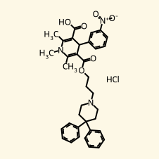 CC1=C(C(=O)O)C(c2cccc([N+](=O)[O-])c2)C(C(=O)OCCCN2CCC(c3ccccc3)(c3ccccc3)CC2)=C(C)N1C.Cl